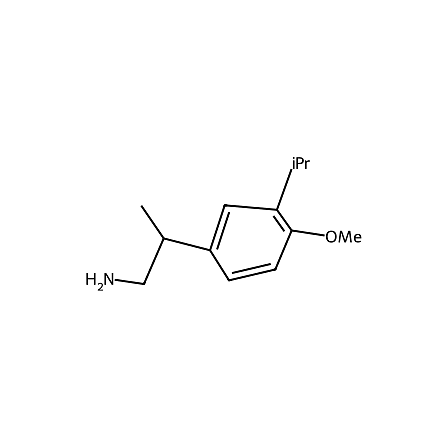 COc1ccc(C(C)CN)cc1C(C)C